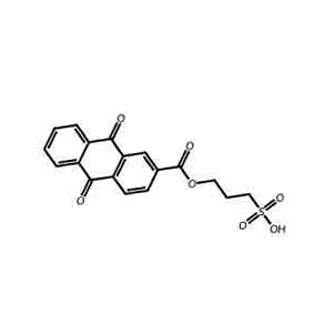 O=C(OCCCS(=O)(=O)O)c1ccc2c(c1)C(=O)c1ccccc1C2=O